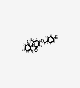 Cc1cc(OCc2ccc(F)cc2)cc(=O)n1-c1c(Cl)cccc1Cl